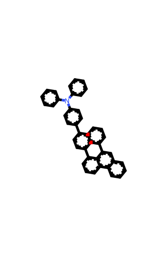 c1ccc(-c2cc3ccccc3c3cccc(-c4ccc(-c5ccc(N(c6ccccc6)c6ccccc6)cc5)cc4)c23)cc1